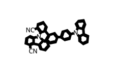 N#Cc1cccc(-c2cccc(-c3ccc(-n4c5ccccc5c5ccccc54)cc3)c2)c1-n1c2ccccc2c2c(C#N)cccc21